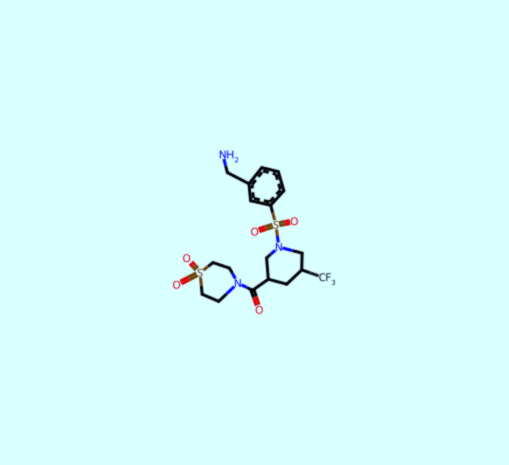 NCc1cccc(S(=O)(=O)N2CC(C(=O)N3CCS(=O)(=O)CC3)CC(C(F)(F)F)C2)c1